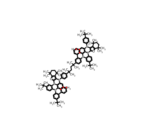 Cc1cc2c3c(c1)N(c1ccc(C(C)(C)CCC(C)(C)c4ccc(N5c6cc(C(C)(C)C)ccc6B6c7oc8c(c7N(c7ccc(C(C)(C)C)cc7)c7cc(C)cc5c76)C(C)(C)CCC8(C)C)c(-c5ccccc5)c4)cc1)c1c(oc4c1C(C)(C)CCC4(C)C)B3c1cc(C(C)(C)C)ccc1N2c1ccc(C(C)(C)C)cc1-c1ccccc1